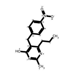 CCCc1nc(C)nc(O)c1Cc1ccc([N+](=O)[O-])cc1